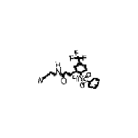 N#CCCNC(=O)C=Cc1cc(C(F)(F)F)ccc1NS(=O)(=O)c1ccccc1